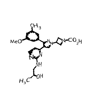 COc1cc(C)cc(-c2nn(C3CN(C(=O)O)C3)cc2-c2ccnc(NC[C@H](C)O)n2)c1